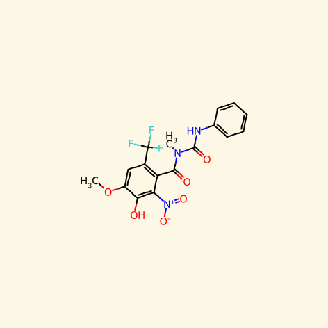 COc1cc(C(F)(F)F)c(C(=O)N(C)C(=O)Nc2ccccc2)c([N+](=O)[O-])c1O